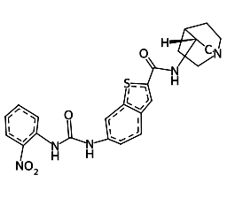 O=C(Nc1ccc2cc(C(=O)N[C@H]3CN4CCC3CC4)sc2c1)Nc1ccccc1[N+](=O)[O-]